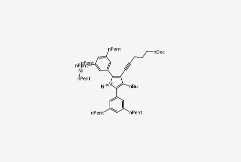 CCCCCCCCCCCCCC#CC1=C(c2cc(CCCCC)cc(CCCCC)c2)[N+](=[N-])C(c2cc(CCCCC)cc(CCCCC)c2)=C1CCCC.CCCC[CH2][Ni][CH2]CCCC